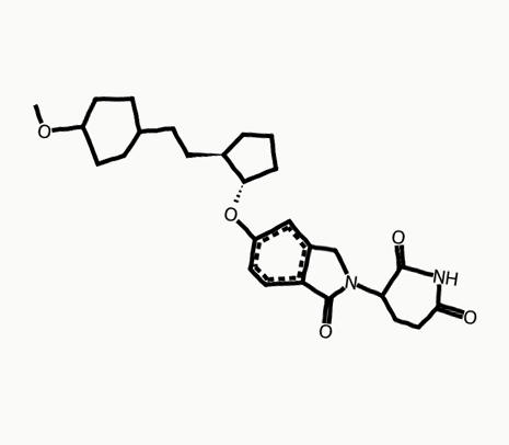 COC1CCC(CC[C@H]2CCC[C@@H]2Oc2ccc3c(c2)CN(C2CCC(=O)NC2=O)C3=O)CC1